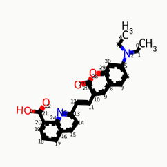 CCN(CC)c1ccc2cc(C=Cc3ccc4cccc(C(=O)O)c4n3)c(=O)oc2c1